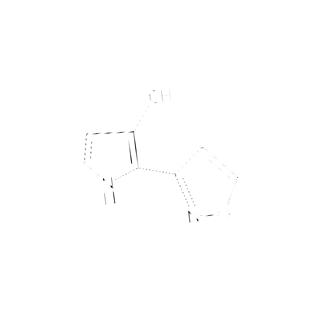 Cc1cc[nH]c1-c1ccon1